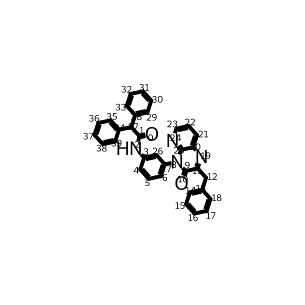 O=C(Nc1cccc(-n2c(=O)c(Cc3ccccc3)nc3cccnc32)c1)C(c1ccccc1)c1ccccc1